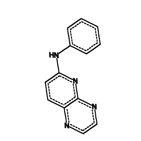 c1ccc(Nc2ccc3nccnc3n2)cc1